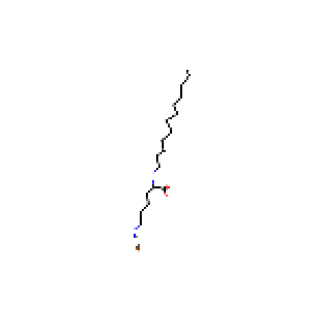 CCCCCCCCCCCCNC(CCCCN=C=S)C(=O)O